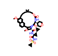 COc1cc2ccc3cc2cc1CCCC(C)(C)CCOC(=O)N[C@@H](C1CCOCC1)C(=O)N1C[C@@]3(OC)C[C@H]1C(=O)N[C@]1(C(=O)NS(=O)(=O)C2CC2)C[C@H]1C1CC1